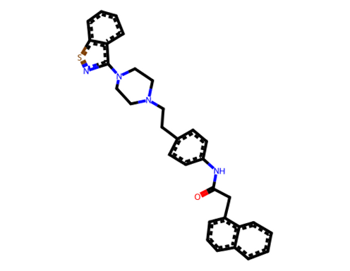 O=C(Cc1cccc2ccccc12)Nc1ccc(CCN2CCN(c3nsc4ccccc34)CC2)cc1